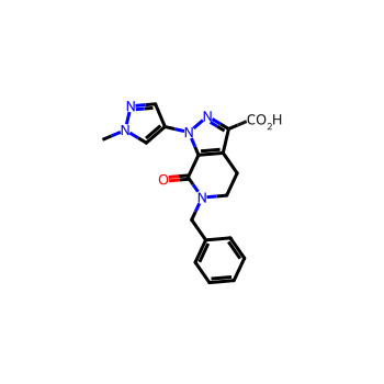 Cn1cc(-n2nc(C(=O)O)c3c2C(=O)N(Cc2ccccc2)CC3)cn1